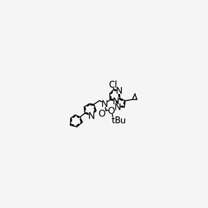 CC(C)(C)OC(=O)N(Cc1ccc(-c2ccccc2)nc1)c1cc(Cl)nc2c(C3CC3)cnn12